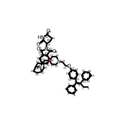 CCC(=C(c1ccccc1)c1ccc(OCCN2CCC(CN3CC4CCC(C3)N4c3ccc4c(c3)C(=O)N(C3CCC(=O)NC3=O)C4=O)CC2)cc1)c1ccccc1